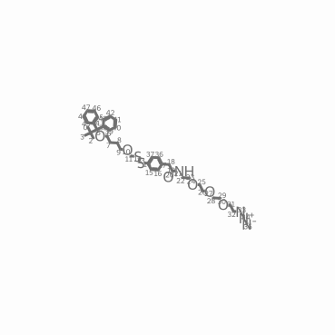 CC(C)(C)C(OCCCCOCSSc1ccc(CC(=O)NCCOCCOCCOCCN=[N+]=[N-])cc1)(c1ccccc1)c1ccccc1